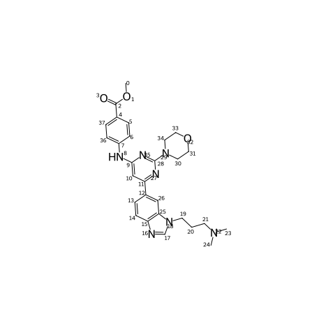 COC(=O)c1ccc(Nc2cc(-c3ccc4ncn(CCCN(C)C)c4c3)nc(N3CCOCC3)n2)cc1